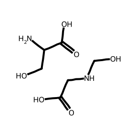 NC(CO)C(=O)O.O=C(O)CNCO